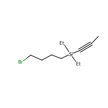 CC#C[Si](CC)(CC)CCCCBr